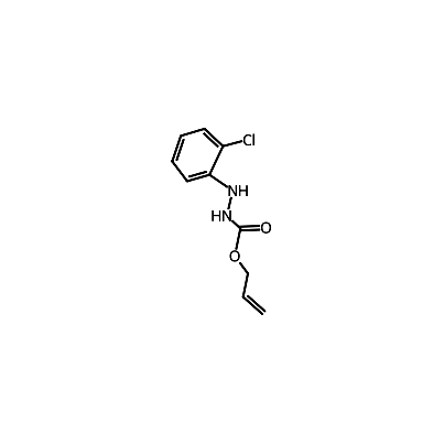 C=CCOC(=O)NNc1ccccc1Cl